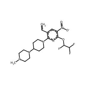 C=Cc1cc([N+](=O)[O-])c(OC(F)C(F)F)nc1N1CCC(N2CCN(C)CC2)CC1